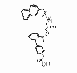 CC(OC[C@H](O)CNC(C)(C)Cc1ccc2ccccc2c1)c1ccccc1-c1ccc(CC(=O)O)cc1